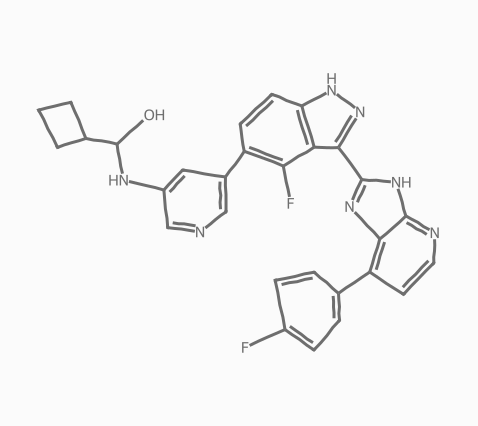 OC(Nc1cncc(-c2ccc3[nH]nc(-c4nc5c(-c6ccc(F)cc6)ccnc5[nH]4)c3c2F)c1)C1CCC1